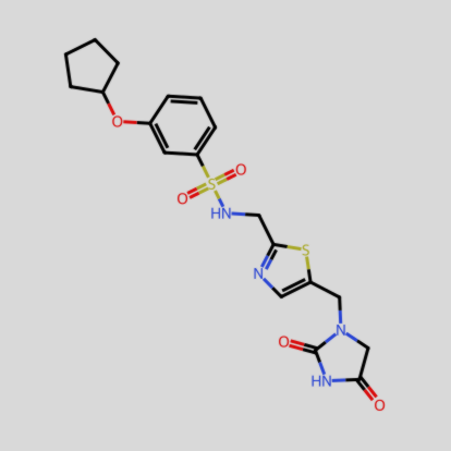 O=C1CN(Cc2cnc(CNS(=O)(=O)c3cccc(OC4CCCC4)c3)s2)C(=O)N1